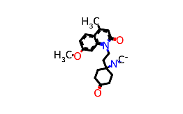 [C-]#[N+]C1(CCn2c(=O)cc(C)c3ccc(OC)cc32)CCC(=O)CC1